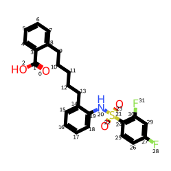 O=C(O)c1ccccc1CCCCCc1ccccc1NS(=O)(=O)c1ccc(F)cc1F